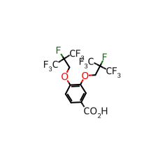 O=C(O)c1ccc(OCC(F)(C(F)(F)F)C(F)(F)F)c(OCC(F)(C(F)(F)F)C(F)(F)F)c1